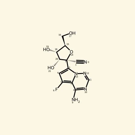 N#C[C@@]1(c2cc(F)c3c(N)ncnn23)O[C@H](CO)[C@@H](O)[C@H]1O